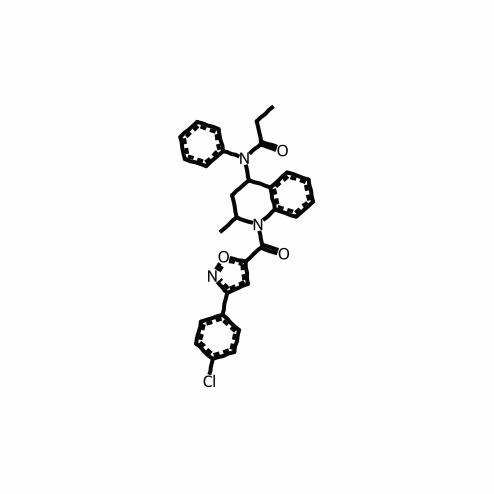 CCC(=O)N(c1ccccc1)C1CC(C)N(C(=O)c2cc(-c3ccc(Cl)cc3)no2)c2ccccc21